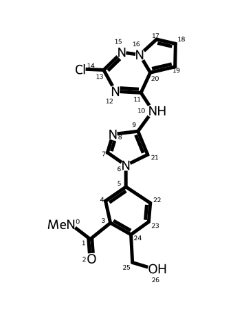 CNC(=O)c1cc(-n2cnc(Nc3nc(Cl)nn4cccc34)c2)ccc1CO